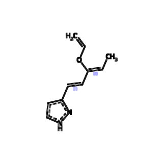 C=COC(=C\C)/C=C/c1cc[nH]n1